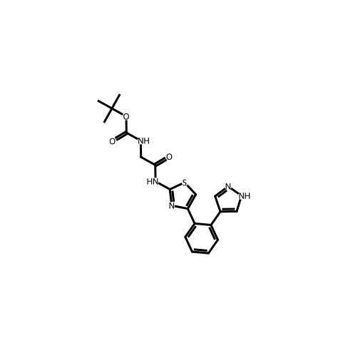 CC(C)(C)OC(=O)NCC(=O)Nc1nc(-c2ccccc2-c2cn[nH]c2)cs1